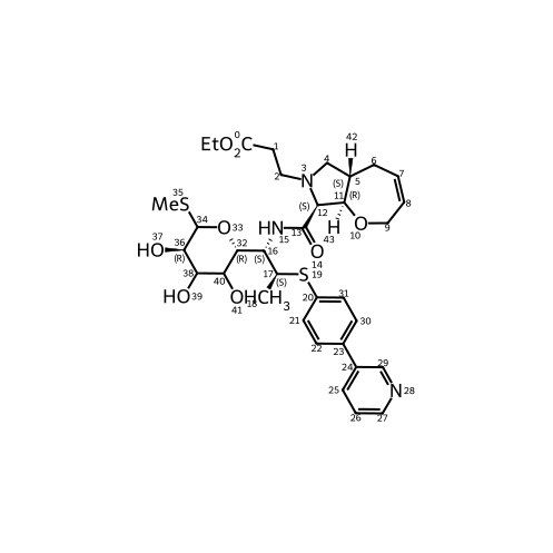 CCOC(=O)CCN1C[C@@H]2CC=CCO[C@H]2[C@H]1C(=O)N[C@H]([C@H](C)Sc1ccc(-c2cccnc2)cc1)[C@H]1OC(SC)[C@H](O)C(O)C1O